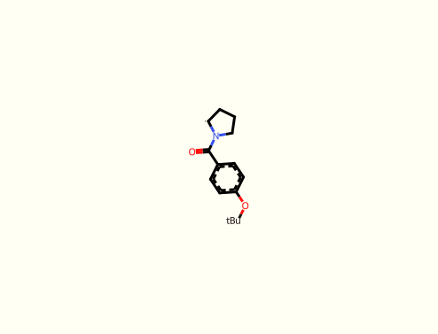 CC(C)(C)Oc1ccc(C(=O)N2[CH]CCC2)cc1